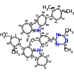 Cc1ccc(-c2ccc3c4ccccc4n(-c4cc(-c5nc(C)nc(C)n5)cc(-n5c6ccccc6c6ccc(-c7ccc(C)cc7C)cc65)c4C(F)(F)F)c3c2)c(C)c1